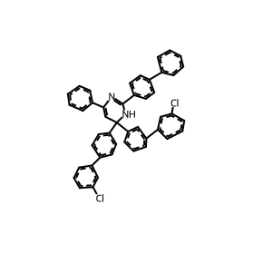 Clc1cccc(-c2ccc(C3(c4cccc(-c5cccc(Cl)c5)c4)C=C(c4ccccc4)N=C(c4ccc(-c5ccccc5)cc4)N3)cc2)c1